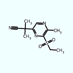 CCS(=O)(=O)c1nc(C(C)(C)C#N)cnc1C